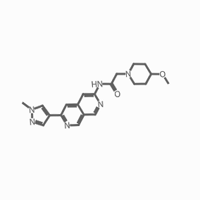 COC1CCN(CC(=O)Nc2cc3cc(-c4cnn(C)c4)ncc3cn2)CC1